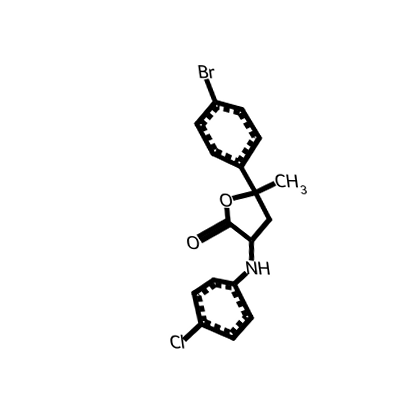 CC1(c2ccc(Br)cc2)CC(Nc2ccc(Cl)cc2)C(=O)O1